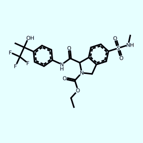 CCOC(=O)N1Cc2cc(S(=O)(=O)NC)ccc2C1C(=O)Nc1ccc(C(C)(O)C(F)(F)F)cc1